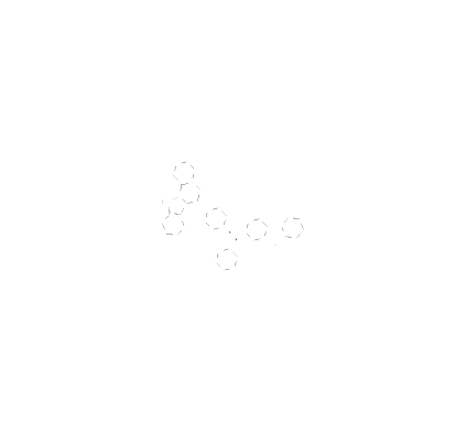 CC1(C)c2ccccc2-c2ccc(N(c3ccccc3)c3ccc(-c4cc5ccccc5c5oc6ccccc6c45)cc3)cc21